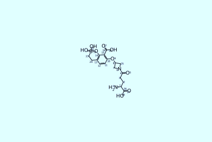 N[C@@H](CCC(=O)N1CC(Oc2ccc3c(c2C(=O)O)O[B-](O)(O)CC3)C1)C(=O)O